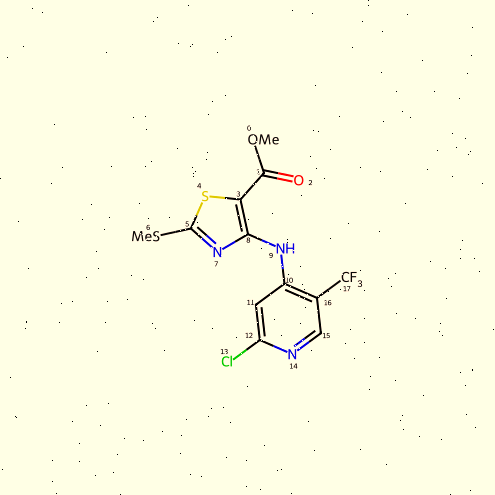 COC(=O)c1sc(SC)nc1Nc1cc(Cl)ncc1C(F)(F)F